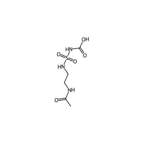 CC(=O)NCCNS(=O)(=O)NC(=O)O